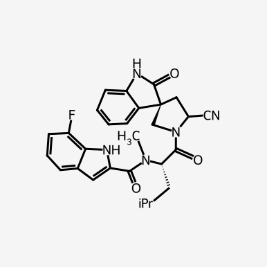 CC(C)C[C@@H](C(=O)N1C[C@]2(CC1C#N)C(=O)Nc1ccccc12)N(C)C(=O)c1cc2cccc(F)c2[nH]1